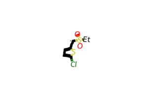 CCS(=O)(=O)[CH]c1ccc(Cl)s1